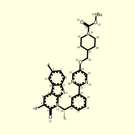 Cc1ccc2sc3c(cc(F)c(=O)n3[C@@H](C)c3cccc(-c4ncc(OCC5CCN(C(=O)OC(C)(C)C)CC5)cn4)c3)c2c1